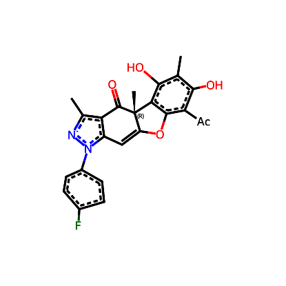 CC(=O)c1c(O)c(C)c(O)c2c1OC1=Cc3c(c(C)nn3-c3ccc(F)cc3)C(=O)[C@@]12C